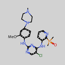 COc1cc(N2CCN(C)CC2)ccc1Nc1ncc(Cl)c(Nc2cccnc2P(C)(C)=O)n1